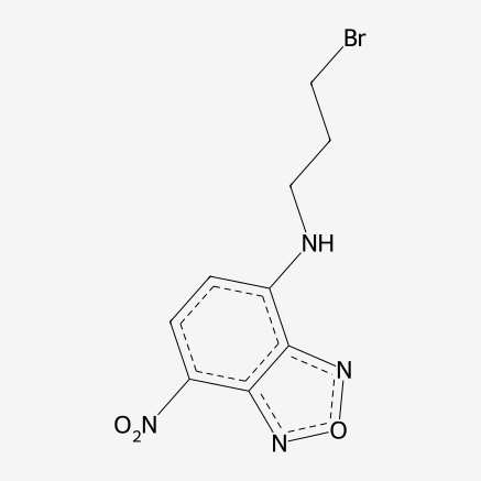 O=[N+]([O-])c1ccc(NCCCBr)c2nonc12